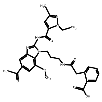 CCn1nc(C)cc1C(=O)Nc1nc2cc(C(N)=O)cc(OC)c2n1CCCNC(=O)Cc1ccccc1C(=O)O